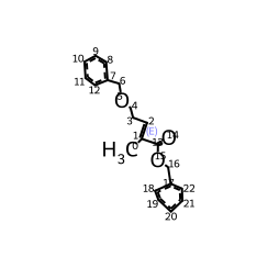 C/C(=C\CCOCc1ccccc1)C(=O)OCc1ccccc1